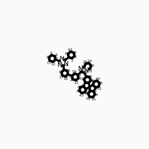 c1ccc(-c2nc(-c3ccccc3)nc(-c3cccc(-c4cccc(-c5nc6ccccn6c5-c5ccc6c(c5)-c5ccccc5C65c6ccccc6-c6ccccc65)c4)c3)n2)cc1